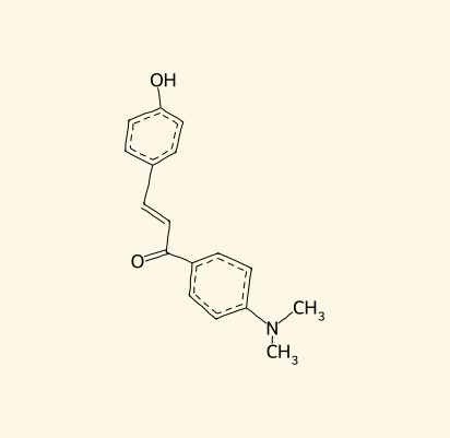 CN(C)c1ccc(C(=O)/C=C/c2ccc(O)cc2)cc1